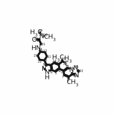 Cc1cc(-c2cc3[nH]nc(C4CCC(NCC(=O)N(C)C)CC4)c3cc2C(C)C)cn2ncnc12